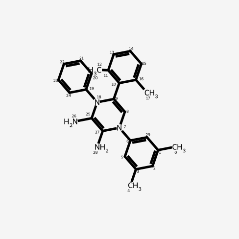 Cc1cc(C)cc(N2C=C(c3c(C)cccc3C)N(c3ccccc3)C(N)=C2N)c1